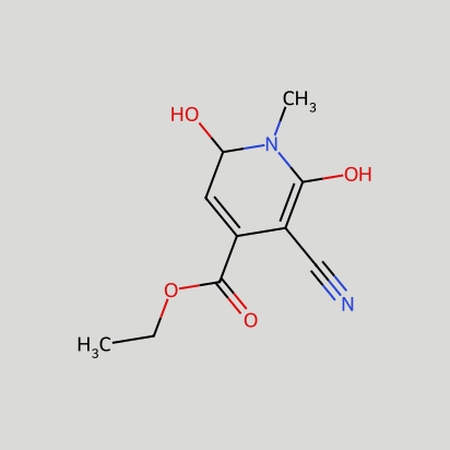 CCOC(=O)C1=CC(O)N(C)C(O)=C1C#N